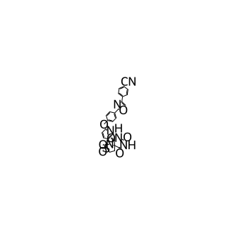 N#Cc1ccc(-c2coc(-c3ccc(Oc4ccc(N5C6(CCS5(=O)=O)C(=O)NC(=O)NC6=O)cn4)cc3)n2)cc1